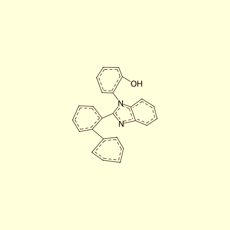 Oc1ccccc1-n1c(-c2ccccc2-c2ccccc2)nc2ccccc21